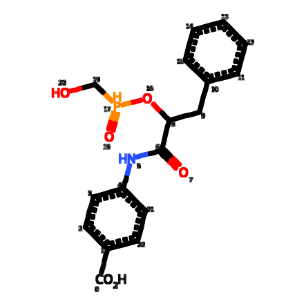 O=C(O)c1ccc(NC(=O)C(Cc2ccccc2)O[PH](=O)CO)cc1